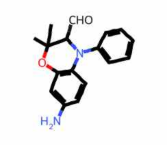 CC1(C)Oc2cc(N)ccc2N(c2ccccc2)C1C=O